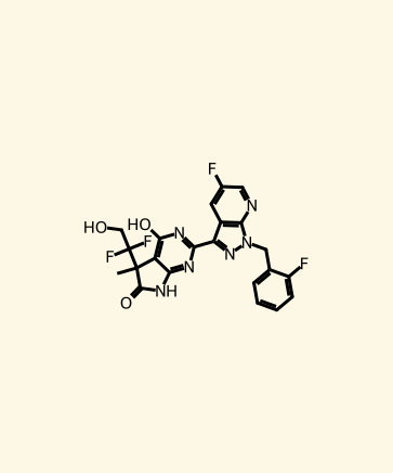 CC1(C(F)(F)CO)C(=O)Nc2nc(-c3nn(Cc4ccccc4F)c4ncc(F)cc34)nc(O)c21